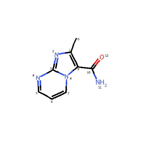 Cc1nc2ncccn2c1C(N)=O